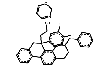 C1=COCN=C1.OCCC1(c2ccc(Cl)c(Cl)c2)Cc2ccccc2-c2ccc3c(c21)CC(Cc1ccccc1)CC3